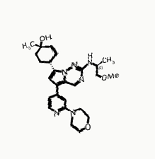 COC[C@H](C)Nc1ncc2c(-c3ccnc(N4CCOCC4)c3)cc([C@H]3CC[C@@](C)(O)CC3)n2n1